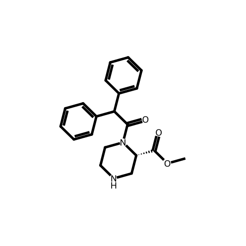 COC(=O)[C@@H]1CNCCN1C(=O)C(c1ccccc1)c1ccccc1